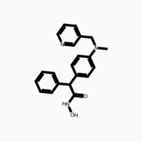 CN(Cc1cccnc1)c1ccc(C(C(=O)NO)c2ccccc2)cc1